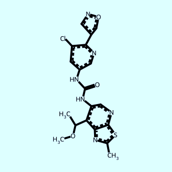 COC(C)c1c(NC(=O)Nc2cnc(-c3cnoc3)c(Cl)c2)cnc2sc(C)nc12